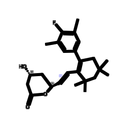 Cc1cc(C2=C(/C=C/[C@@H]3C[C@@H](O)CC(=O)O3)C(C)(C)CC(C)(C)C2)cc(C)c1F